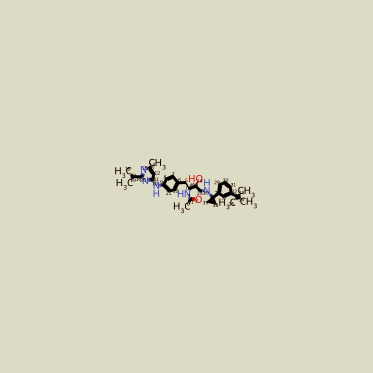 CC(=O)N[C@@H](Cc1ccc(Nc2cc(C)nc(C(C)C)n2)cc1)[C@@H](O)CNC1(c2cccc(C(C)(C)C)c2)CC1